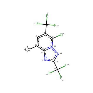 Cc1cc(C(F)(F)F)c(Cl)n2nc(C(F)(F)F)nc12